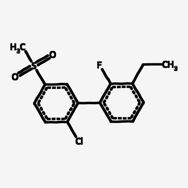 CCc1cccc(-c2cc(S(C)(=O)=O)ccc2Cl)c1F